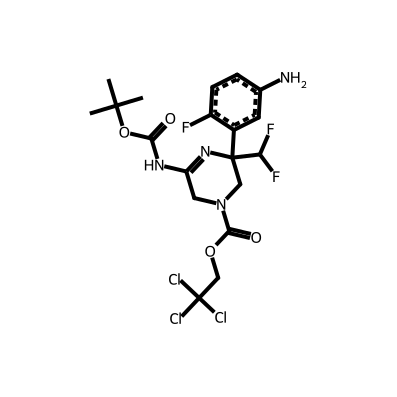 CC(C)(C)OC(=O)NC1=NC(c2cc(N)ccc2F)(C(F)F)CN(C(=O)OCC(Cl)(Cl)Cl)C1